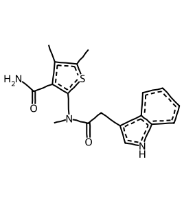 Cc1sc(N(C)C(=O)Cc2c[nH]c3ccccc23)c(C(N)=O)c1C